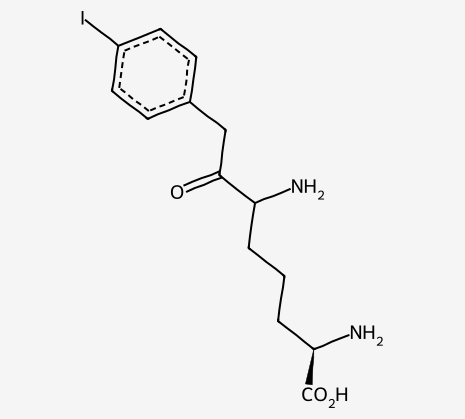 NC(CCC[C@@H](N)C(=O)O)C(=O)Cc1ccc(I)cc1